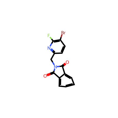 O=C1c2ccccc2C(=O)N1Cc1ccc(Br)c(F)n1